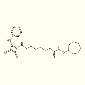 O=C(CCCCCCNc1c(Nc2ccncc2)c(=O)c1=O)NOC1CCCCCC1